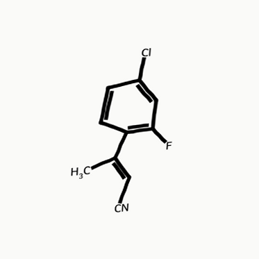 CC(=CC#N)c1ccc(Cl)cc1F